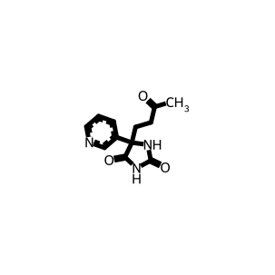 CC(=O)CCC1(c2cccnc2)NC(=O)NC1=O